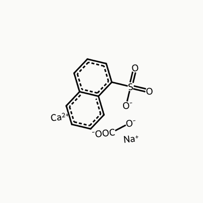 O=C([O-])[O-].O=S(=O)([O-])c1cccc2ccccc12.[Ca+2].[Na+]